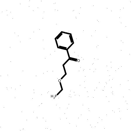 O=C(CCOCP)c1ccccc1